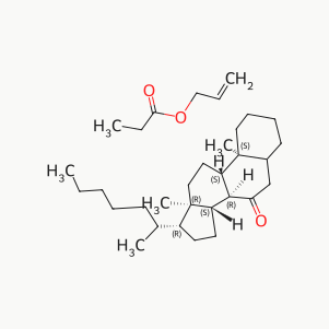 C=CCOC(=O)CC.CCCCCC(C)[C@H]1CC[C@H]2[C@@H]3C(=O)CC4CCCC[C@]4(C)[C@H]3CC[C@]12C